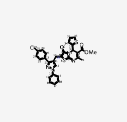 COC(=O)C1=C(C)N=c2s/c(=C\c3cn(-c4ccccc4)nc3-c3ccc(Cl)cc3)c(=O)n2C1c1cccs1